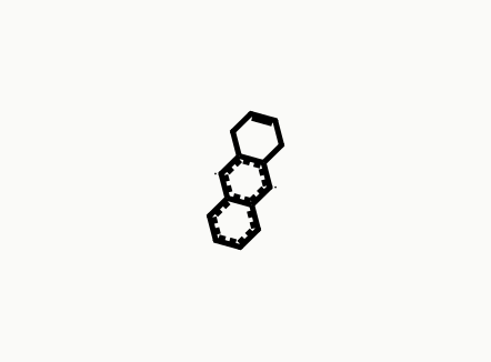 [c]1c2c([c]c3ccccc13)CC=CC2